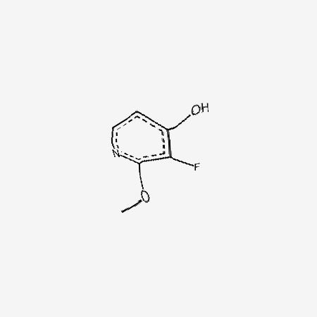 COc1nccc(O)c1F